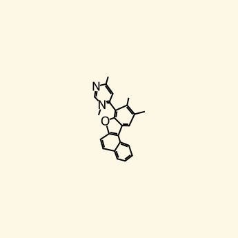 Cc1cc(-c2c(C)c(C)cc3c2oc2ccc4ccccc4c23)[n+](C)cn1